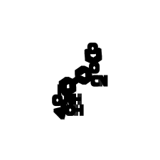 N#Cc1cc(-c2ccnc(NC(=O)C3(O)CC3)c2)ccc1OC1CCOCC1